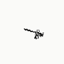 CCCCCCCCCOC(=O)/C(=C/C(F)F)NC(=O)OC(C)(C)C